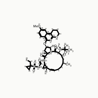 CC[C@@H]1C[C@@H](C)CCC=C[C@@H]2C[C@@]2(C(=O)NS(=O)(=O)C2(CF)CC2)NC(=O)[C@@H]2C[C@@H](Oc3nc4c(c5cc(OC)ccc35)CCCO4)CN2C(=O)[C@H]1N(C(=O)O)C(C)(C)C(F)(F)F